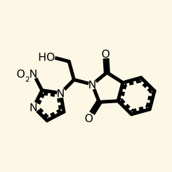 O=C1c2ccccc2C(=O)N1C(CO)n1ccnc1[N+](=O)[O-]